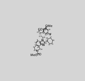 COC(=O)N1CCc2ccc3c(nc(C4CCCCC4)n3CC[C@H](CC(=O)O)c3cc(F)cc(OC)c3)c2C1